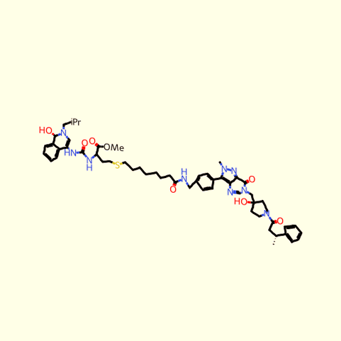 COC(=O)C(CCSCCCCCCCC(=O)NCc1ccc(-c2c3ncn(CC4(O)CCN(C(=O)C[C@@H](C)c5ccccc5)CC4)c(=O)c3nn2C)cc1)NC(=O)NC1=CN(CC(C)C)C(O)c2ccccc21